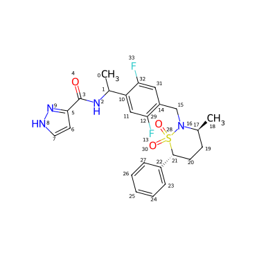 CC(NC(=O)c1cc[nH]n1)c1cc(F)c(CN2[C@@H](C)CC[C@H](c3ccccc3)S2(=O)=O)cc1F